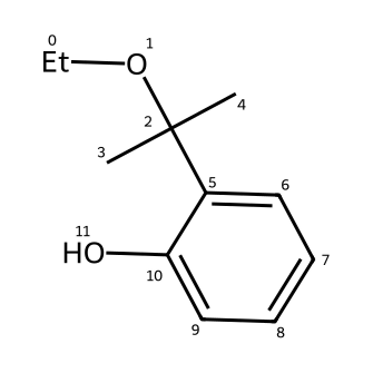 CCOC(C)(C)c1ccccc1O